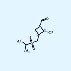 CC(C)S(=O)(=O)C[C@H]1CN(C=O)[C@@H]1C